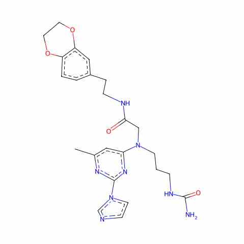 Cc1cc(N(CCCNC(N)=O)CC(=O)NCCc2ccc3c(c2)OCCO3)nc(-n2ccnc2)n1